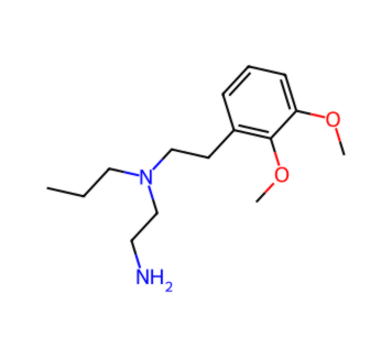 CCCN(CCN)CCc1cccc(OC)c1OC